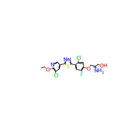 CCOc1ncc(-c2nnc(-c3cc(F)c(OC[C@H](N)CO)cc3Cl)s2)cc1Cl